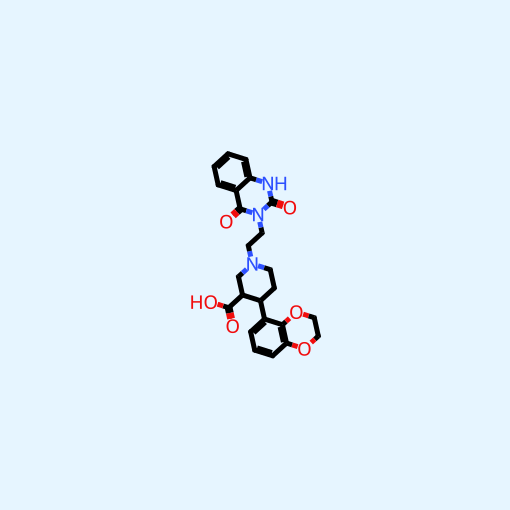 O=C(O)C1CN(CCn2c(=O)[nH]c3ccccc3c2=O)CCC1c1cccc2c1OCCO2